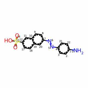 Nc1ccc(N=Nc2ccc3cc(S(=O)(=O)O)ccc3c2)cc1